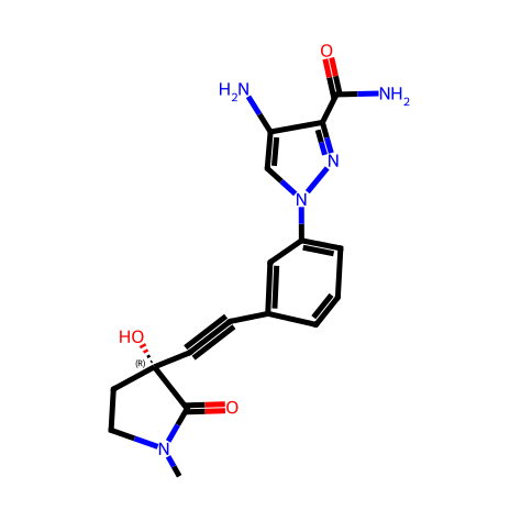 CN1CC[C@@](O)(C#Cc2cccc(-n3cc(N)c(C(N)=O)n3)c2)C1=O